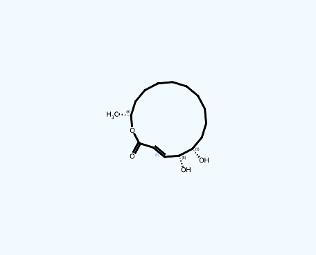 C[C@@H]1CCCCCCCCC[C@H](O)[C@H](O)/C=C/C(=O)O1